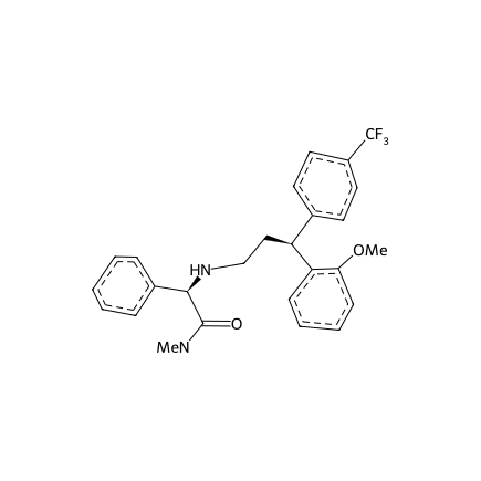 CNC(=O)[C@H](NCC[C@@H](c1ccc(C(F)(F)F)cc1)c1ccccc1OC)c1ccccc1